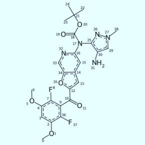 COc1cc(OC)c(F)c(C(=O)c2cc3cc(N(C(=O)OC(C)(C)C)c4nn(C)cc4N)ncc3o2)c1F